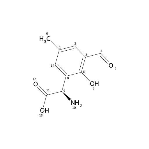 Cc1cc(C=O)c(O)c([C@@H](N)C(=O)O)c1